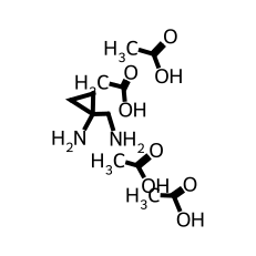 CC(=O)O.CC(=O)O.CC(=O)O.CC(=O)O.NCC1(N)CC1